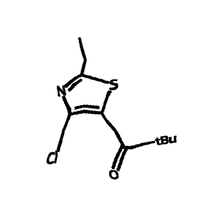 Cc1nc(Cl)c(C(=O)C(C)(C)C)s1